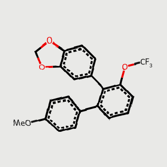 COc1ccc(-c2[c]ccc(OC(F)(F)F)c2-c2ccc3c(c2)OCO3)cc1